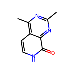 Cc1nc(C)c2cc[nH]c(=O)c2n1